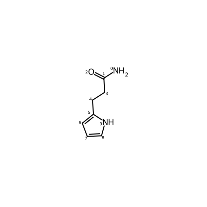 NC(=O)CCc1ccc[nH]1